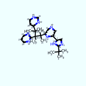 CC(C)(C)c1ncc(-c2cncc(C(C)(C)C(C)(c3ncccn3)C(C)(C)c3ccncn3)n2)[nH]1